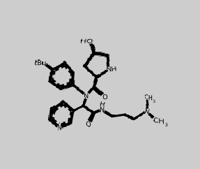 CN(C)CCCNC(=O)C(c1cccnc1)N(C(=O)C1CC(O)CN1)c1ccc(C(C)(C)C)cc1